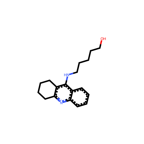 OCCCCCNc1c2c(nc3ccccc13)CCCC2